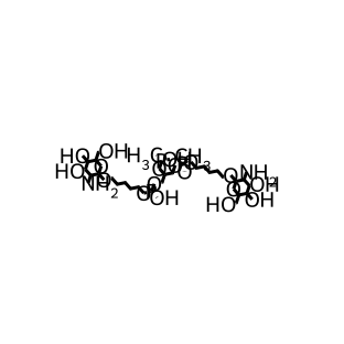 CP(O)OC(COP(O)OCCCCCOC1OC(CO)C(O)C(O)C1N)COP(C)(=O)OCCCCCOC1OC(CO)C(O)C(O)C1N